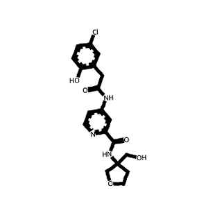 O=C(Cc1cc(Cl)ccc1O)Nc1ccnc(C(=O)NC2(CO)CCOC2)c1